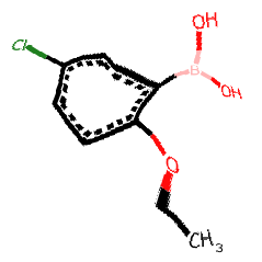 CCOc1ccc(Cl)cc1B(O)O